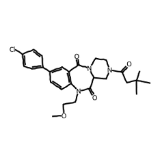 COCCN1C(=O)C2CN(C(=O)CC(C)(C)C)CCN2C(=O)c2cc(-c3ccc(Cl)cc3)ccc21